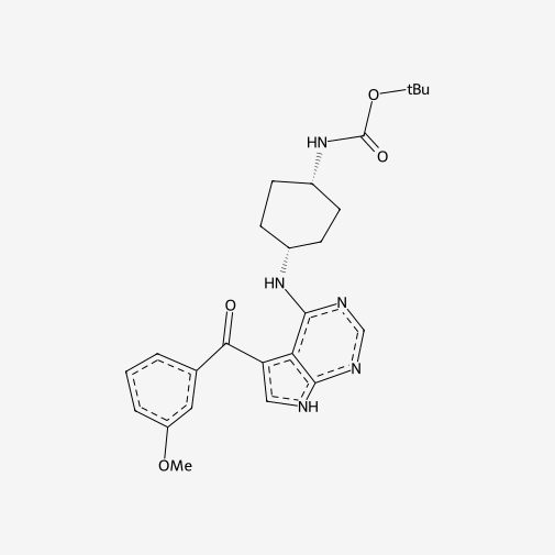 COc1cccc(C(=O)c2c[nH]c3ncnc(N[C@H]4CC[C@@H](NC(=O)OC(C)(C)C)CC4)c23)c1